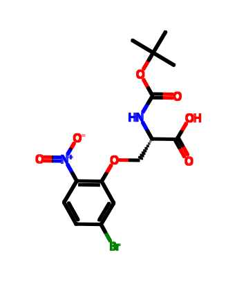 CC(C)(C)OC(=O)N[C@@H](COc1cc(Br)ccc1[N+](=O)[O-])C(=O)O